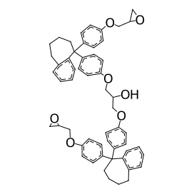 OC(COc1ccc(C2(c3ccc(OCC4CO4)cc3)CCCCc3ccccc32)cc1)COc1ccc(C2(c3ccc(OCC4CO4)cc3)CCCCc3ccccc32)cc1